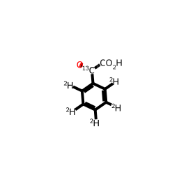 [2H]c1c([2H])c([2H])c([13C](=O)C(=O)O)c([2H])c1[2H]